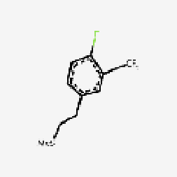 CSCCc1ccc(F)c(C(F)(F)F)c1